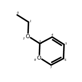 CCO[C]1C=CC=CO1